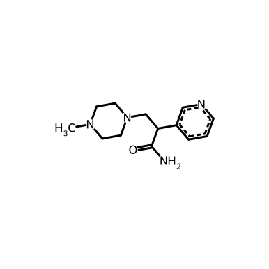 CN1CCN(CC(C(N)=O)c2cccnc2)CC1